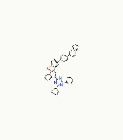 c1ccc(-c2nc(-c3ccccc3)nc(-c3cc4c5cc(-c6ccc(-c7ccc8ccccc8c7)cc6)ccc5oc4c4ccccc34)n2)cc1